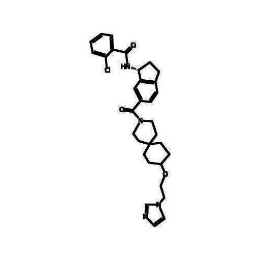 O=C(N[C@@H]1CCc2ccc(C(=O)N3CCC4(CCC(OCCn5ccnc5)CC4)CC3)cc21)c1ccccc1Cl